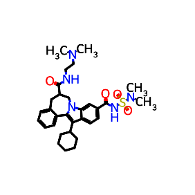 CN(C)CCNC(=O)C1Cc2ccccc2-c2c(C3CCCCC3)c3ccc(C(=O)NS(=O)(=O)N(C)C)cc3n2C1